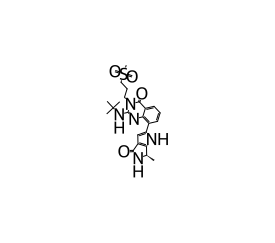 C[C@H]1NC(=O)c2cc(-c3cccc4c(=O)n(CCCS(C)(=O)=O)c(NC(C)(C)C)nc34)[nH]c21